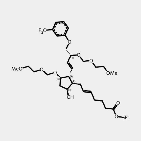 COCCOCO[C@H](C=C[C@@H]1[C@@H](CC=CCCCC(=O)OC(C)C)[C@@H](O)C[C@H]1OCOCCOC)COc1cccc(C(F)(F)F)c1